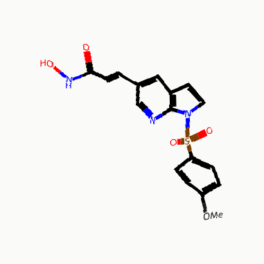 COc1ccc(S(=O)(=O)n2ccc3cc(/C=C/C(=O)NO)cnc32)cc1